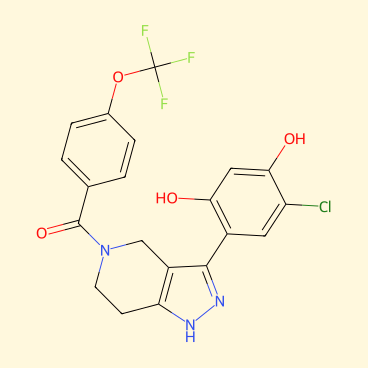 O=C(c1ccc(OC(F)(F)F)cc1)N1CCc2[nH]nc(-c3cc(Cl)c(O)cc3O)c2C1